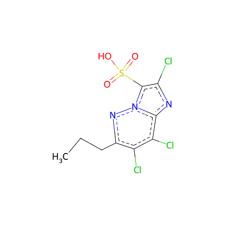 CCCc1nn2c(S(=O)(=O)O)c(Cl)nc2c(Cl)c1Cl